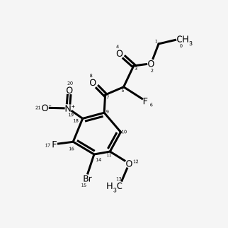 CCOC(=O)C(F)C(=O)c1cc(OC)c(Br)c(F)c1[N+](=O)[O-]